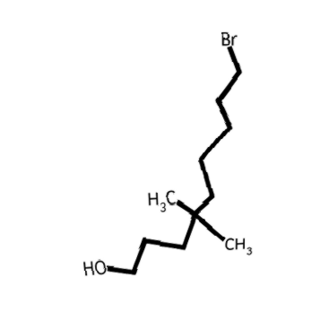 CC(C)(CCCO)CCCCCBr